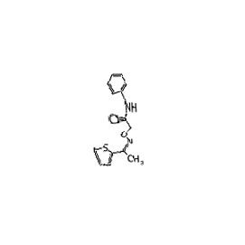 CC(=NOCC(=O)Nc1ccccc1)c1cccs1